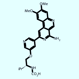 COc1cc2ncc3c(N)nc(-c4cncc(OC[C@H](NC(=O)O)C(C)C)c4)cc3c2cc1OC